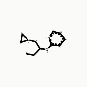 CCC(CN1CC1)Oc1ccccn1